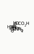 Cc1cccc(C[C@H](C)C(=O)N[C@@H](Cc2ccc(OCC(=O)O)cc2)C(=O)N[C@@H](Cc2ccc(-c3ccccc3)cc2)C(N)=O)c1